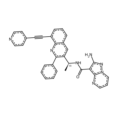 C[C@H](NC(=O)c1c(N)nn2cccnc12)c1cc2cccc(C#Cc3ccncc3)c2nc1-c1ccccc1